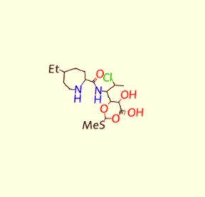 CCC1CCNC(C(=O)NC(C(C)Cl)C2OC(SC)O[C@@H](O)C2O)CC1